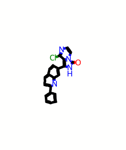 O=c1[nH]c(-c2ccc3ccc(-c4ccccc4)nc3c2)c2c(Cl)nccn12